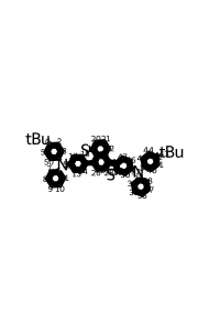 CC(C)(C)c1ccc(N(c2ccccc2)c2ccc3c(c2)Sc2cccc4c2c-3cc2sc3cc(N(c5ccccc5)c5ccc(C(C)(C)C)cc5)ccc3c24)cc1